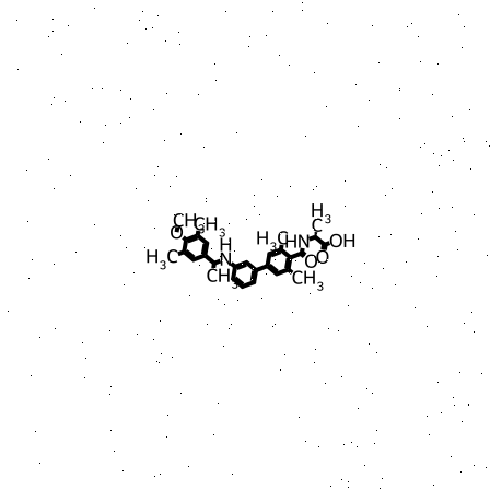 COc1c(C)cc(C(C)Nc2cccc(-c3cc(C)c(C(=O)N[C@@H](C)C(=O)O)c(C)c3)c2)cc1C